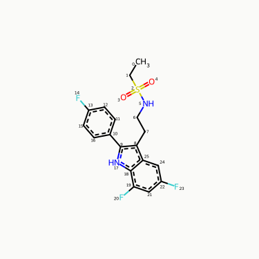 CCS(=O)(=O)NCCc1c(-c2ccc(F)cc2)[nH]c2c(F)cc(F)cc12